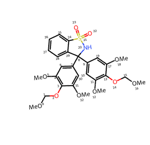 COCOc1c(OC)cc(C2(c3cc(OC)c(OCOC)c(OC)c3)NS(=O)(=O)c3ccccc32)cc1OC